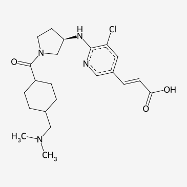 CN(C)CC1CCC(C(=O)N2CC[C@@H](Nc3ncc(/C=C/C(=O)O)cc3Cl)C2)CC1